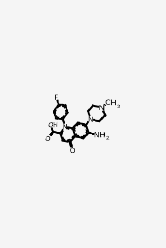 CN1CCN(c2cc3c(cc2N)c(=O)cc(C(=O)O)n3-c2ccc(F)cc2)CC1